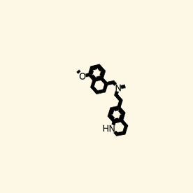 COc1cccc2c1CCCC2CN(C)CCc1ccc2c(c1)CCCN2